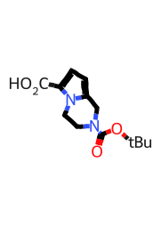 CC(C)(C)OC(=O)N1CCn2c(ccc2C(=O)O)C1